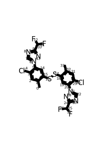 Cc1cc(Cl)c(-n2cnc(C(F)F)n2)cc1SSc1cc(-n2cnc(C(F)F)n2)c(Cl)cc1C